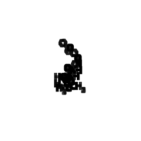 CC(C)(C)OC(=O)N[C@@H](CO)C(=O)Nc1ccc(Oc2ccc3c(c2)CCC(c2ccccc2)O3)nc1